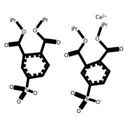 CC(C)OC(=O)c1ccc(S(=O)(=O)[O-])cc1C(=O)OC(C)C.CC(C)OC(=O)c1ccc(S(=O)(=O)[O-])cc1C(=O)OC(C)C.[Ca+2]